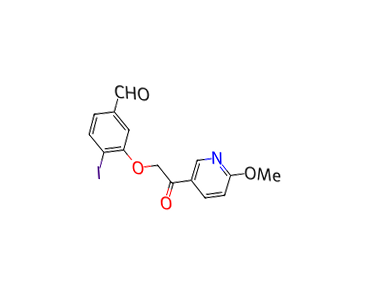 COc1ccc(C(=O)COc2cc(C=O)ccc2I)cn1